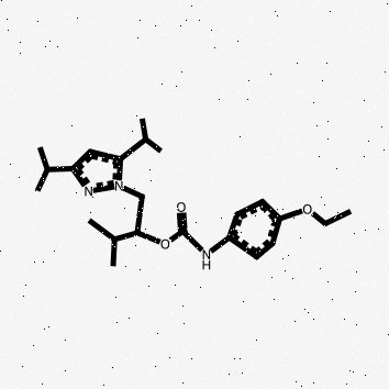 CCOc1ccc(NC(=O)OC(Cn2nc(C(C)C)cc2C(C)C)C(C)C)cc1